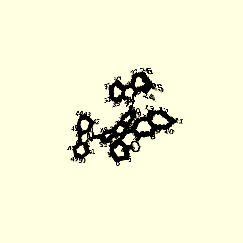 c1ccc2c(c1)Oc1cc3ccccc3cc1C21c2ccc(-n3c4ccccc4c4ccccc43)cc2-c2cc(-n3c4ccccc4c4ccccc43)ccc21